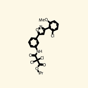 COc1cccc(Cl)c1-c1cc(-c2cccc(NC(=O)C(Cl)(Cl)C(=O)OC(C)C)c2)on1